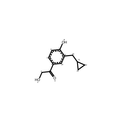 O=C(CO)c1ccc(O)c(CC2CC2)c1